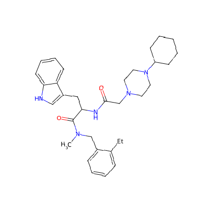 CCc1ccccc1CN(C)C(=O)C(Cc1c[nH]c2ccccc12)NC(=O)CN1CCN(C2CCCCC2)CC1